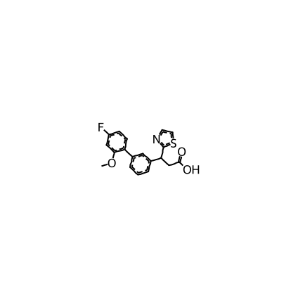 COc1cc(F)ccc1-c1cccc(C(CC(=O)O)c2nccs2)c1